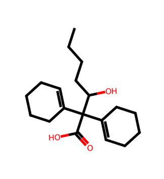 CCCCC(O)C(C(=O)O)(C1=CCCCC1)C1=CCCCC1